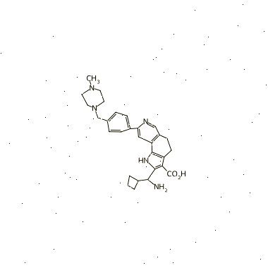 CN1CCN(Cc2ccc(-c3cc4c(cn3)CCc3c-4[nH]c(C(N)C4CCC4)c3C(=O)O)cc2)CC1